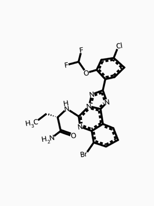 CC[C@H](Nc1nc2c(Br)cccc2c2nc(-c3ccc(Cl)cc3OC(F)F)nn12)C(N)=O